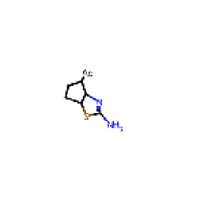 CC(=O)C1CCC2SC(N)=NC21